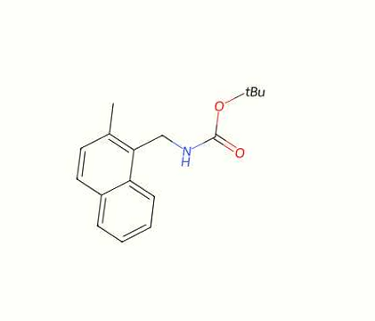 Cc1ccc2ccccc2c1CNC(=O)OC(C)(C)C